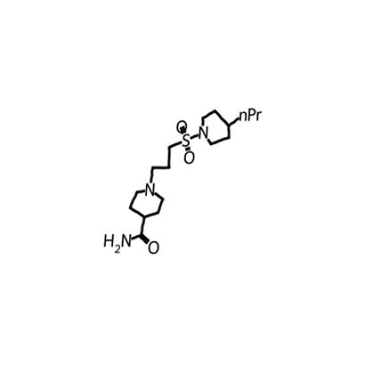 CCCC1CCN(S(=O)(=O)CCCN2CCC(C(N)=O)CC2)CC1